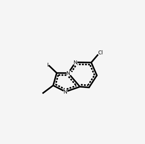 Cc1nc2ccc(Cl)nn2c1I